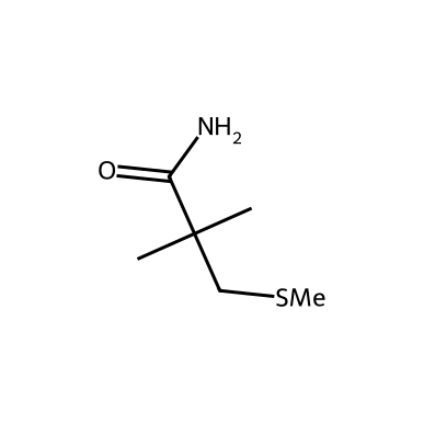 CSCC(C)(C)C(N)=O